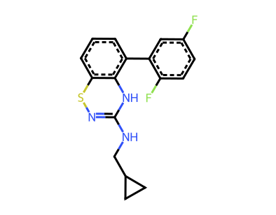 Fc1ccc(F)c(-c2cccc3c2NC(NCC2CC2)=NS3)c1